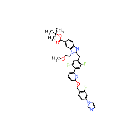 COCCn1c(Cc2cc(F)c(-c3cccc(OCc4ccc(-n5ccnc5)cc4F)n3)cc2F)nc2ccc(C(=O)OC(C)(C)C)cc21